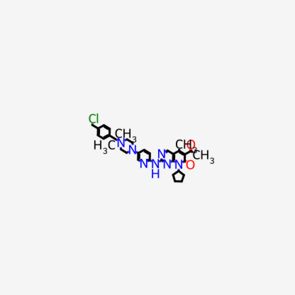 CC(=O)c1c(C)c2cnc(Nc3ccc(N4CCN(C(C)(C)c5ccc(CCl)cc5)CC4)cn3)nc2n(C2CCCC2)c1=O